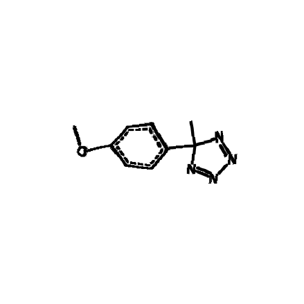 COc1ccc(C2(C)N=NN=N2)cc1